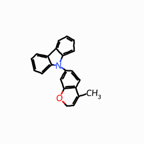 CC1=CCOc2cc(-n3c4ccccc4c4ccccc43)ccc21